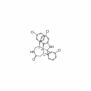 O=C1C[C@H](c2cccc(Cl)c2)[C@@]2(C(=O)Nc3cc(Cl)ccc32)[C@H](c2cccc(Cl)c2)CN1